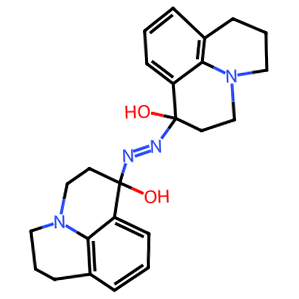 OC1(N=NC2(O)CCN3CCCc4cccc2c43)CCN2CCCc3cccc1c32